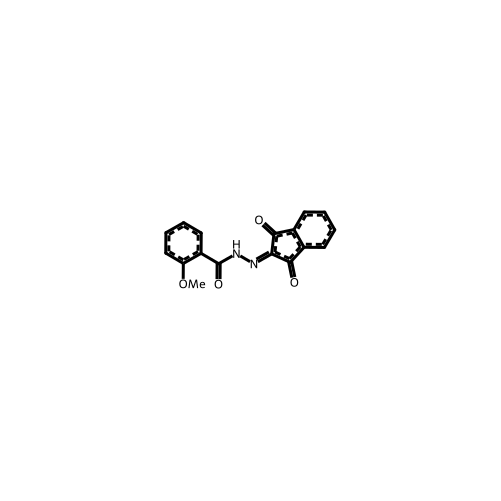 COc1ccccc1C(=O)NN=c1c(=O)c2ccccc2c1=O